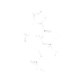 CN.O=C(O)CC[C@H](NC(=O)c1cccs1)C(=O)O